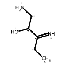 CCC(=N)C(O)CN